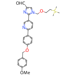 COc1ccc(COc2ccc(-c3ccc(-c4nc(C=O)cn4COCCS(C)(C)C)cn3)cc2)cc1